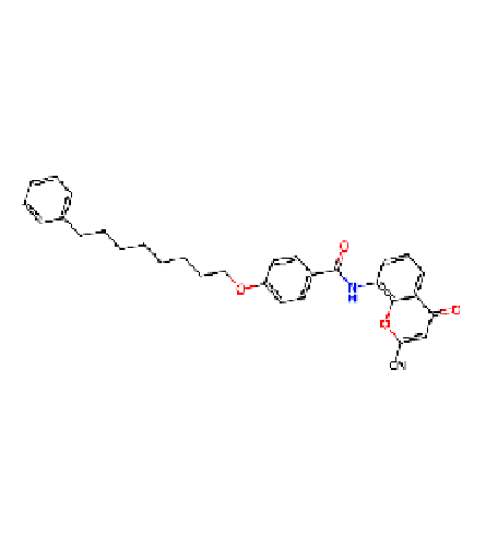 N#Cc1cc(=O)c2cccc(NC(=O)c3ccc(OCCCCCCCCc4ccccc4)cc3)c2o1